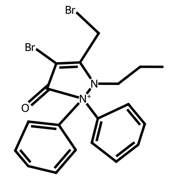 CCCN1C(CBr)=C(Br)C(=O)[N+]1(c1ccccc1)c1ccccc1